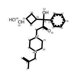 C=C(C)CN1CCN(CC(=O)C(O)(c2ccccc2)C2CCC2)CC1.Cl.Cl